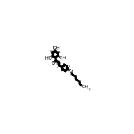 CCCCCCOc1ccc(/C=C/C(=O)c2c(O)cc(O)cc2O)cc1